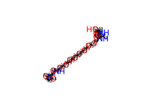 CC(C)C(NC(=O)CCOCCOCCOCCOCCOCCOCCOCCOCCNC(=O)CCN1C(=O)C=CC1=O)C(=O)N[C@@H](C)C(=O)O